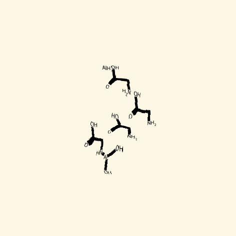 NCC(=O)O.NCC(=O)O.NCC(=O)O.O=C(O)C[NH][Al]([OH])[OH].[AlH3]